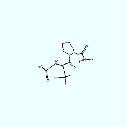 CNC(=O)C1CCCN1C(=O)C(NC(=O)O)C(C)(C)C